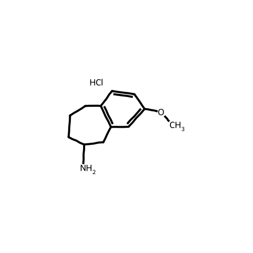 COc1ccc2c(c1)CC(N)CCC2.Cl